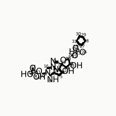 N#C[C@@]1(c2ccc3c(=N)n(COP(=O)(O)O)cnn23)O[C@H](CO[PH](=O)Oc2ccccc2)[C@@H](O)[C@H]1O